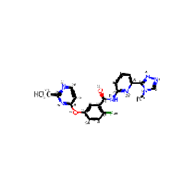 CC(C)n1cnnc1-c1cccc(NC(=O)c2cc(Oc3ccnc(C(=O)O)n3)ccc2F)n1